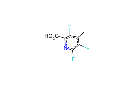 Cc1c(F)c(F)nc(C(=O)O)c1F